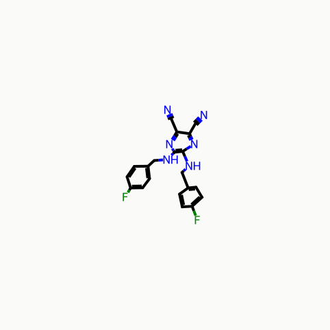 N#Cc1nc(NCc2ccc(F)cc2)c(NCc2ccc(F)cc2)nc1C#N